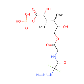 CC(=O)O[C@H]([C@H](OC(C)=O)[C@@H](O)C(=O)OP(=O)(O)O)[C@H](O)COC(=O)CNC(=O)C(F)(F)N=[N+]=[N-]